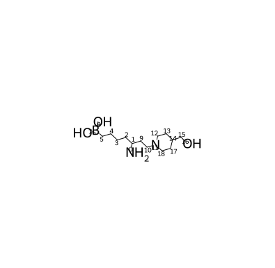 NC(CCCCB(O)O)CCN1CCC(CO)CC1